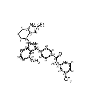 CCn1cc2c(n1)CCC[C@@H]2n1nc(-c2ccc(C(=O)Nc3cc(C(F)(F)F)ccn3)cc2)c2c(N)ncnc21